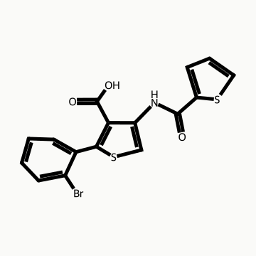 O=C(Nc1csc(-c2ccccc2Br)c1C(=O)O)c1cccs1